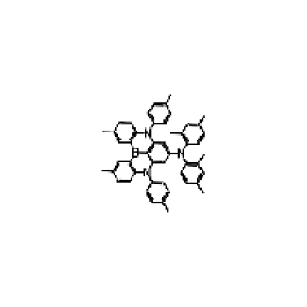 Cc1ccc(N2c3ccc(C)cc3B3c4cc(C)ccc4N(c4ccc(C)cc4)c4cc(N(c5ccc(C)cc5C)c5ccc(C)cc5C)cc2c43)cc1